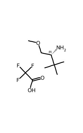 COC[C@H](N)C(C)(C)C.O=C(O)C(F)(F)F